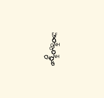 O=C(CC(=O)c1ccc(Nc2cc(N3CCCCC3)cc(N3CCCC3)c2)cc1)Nc1ccc(SC(F)(F)F)cc1